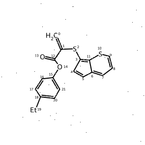 C=C(Sc1ccc2cccsc1-2)C(=O)Oc1ccc(CC)cc1